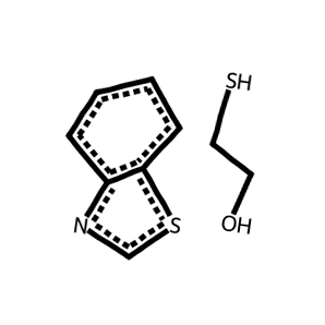 OCCS.c1ccc2scnc2c1